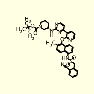 Cc1ccc2c(NS(=O)(=O)Cc3ccccc3C#N)cccc2c1Oc1ncccc1-c1ccnc(N[C@H]2CCCN(C(=O)OC(C)(C)C)C2)n1